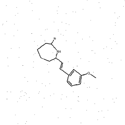 COc1cccc(C=CC2CCCCC([N])N2)c1